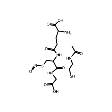 CC(=O)NCCS.NC(CCC(=O)NC(CSN=O)C(=O)NCC(=O)O)C(=O)O